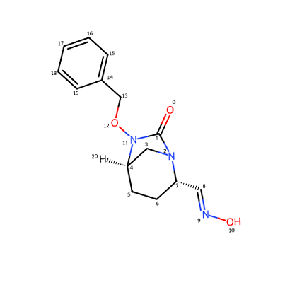 O=C1N2C[C@@H](CC[C@H]2C=NO)N1OCc1ccccc1